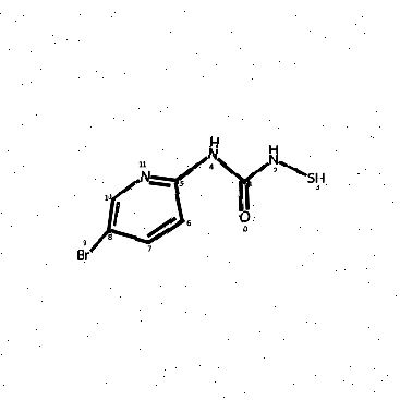 O=C(NS)Nc1ccc(Br)cn1